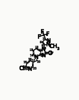 Cn1nc(C(F)(F)F)cc1-n1c2cccn(Cc3ccc(Cl)nc3)c-2nc1=O